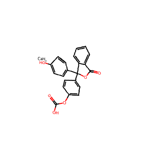 O=C(O)Oc1ccc(C2(c3ccc(O)cc3)OC(=O)c3ccccc32)cc1.[CaH2]